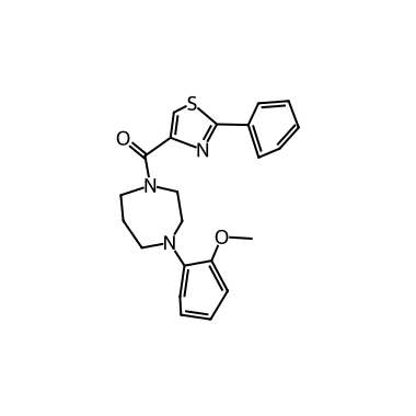 COc1ccccc1N1CCCN(C(=O)c2csc(-c3ccccc3)n2)CC1